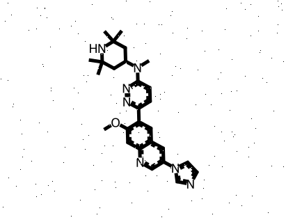 COc1cc2ncc(-n3ccnc3)cc2cc1-c1ccc(N(C)C2CC(C)(C)NC(C)(C)C2)nn1